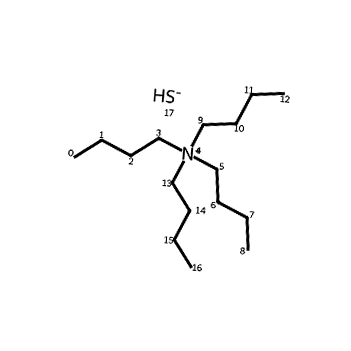 CCCC[N+](CCCC)(CCCC)CCCC.[SH-]